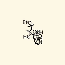 CCOC(C)(C)CC(C)[P@@](O)C(O)(Cn1ccnc1)P(=O)(O)O